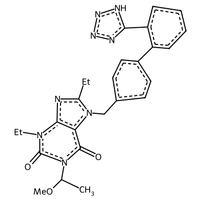 CCc1nc2c(c(=O)n(C(C)OC)c(=O)n2CC)n1Cc1ccc(-c2ccccc2-c2nnn[nH]2)cc1